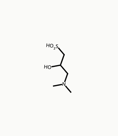 CN(C)CC(O)CS(=O)(=O)O